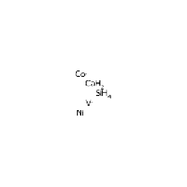 [CaH2].[Co].[Ni].[SiH4].[V]